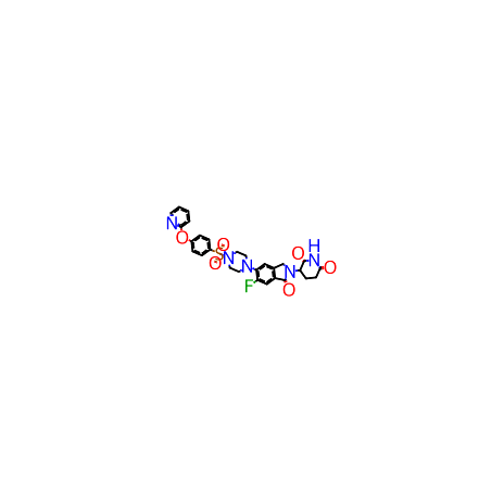 O=C1CCC(N2Cc3cc(N4CCN(S(=O)(=O)c5ccc(Oc6ccccn6)cc5)CC4)c(F)cc3C2=O)C(=O)N1